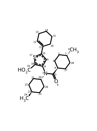 C[C@H]1CC[C@H](C(=O)N(c2cc(C3=CCCCC3)sc2C(=O)O)[C@H]2CC[C@H](C)CC2)CC1